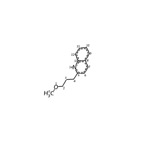 COCCCc1ccc2ccccc2n1